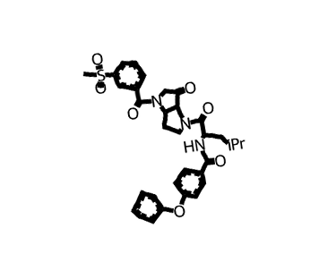 CC(C)CC(NC(=O)c1ccc(Oc2ccccc2)cc1)C(=O)N1CCC2C1C(=O)CN2C(=O)c1cccc(S(C)(=O)=O)c1